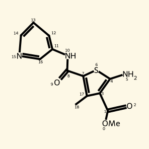 COC(=O)c1c(N)sc(C(=O)Nc2cccnc2)c1C